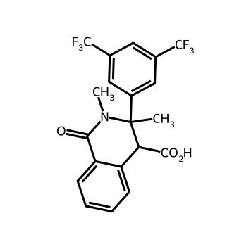 CN1C(=O)c2ccccc2C(C(=O)O)C1(C)c1cc(C(F)(F)F)cc(C(F)(F)F)c1